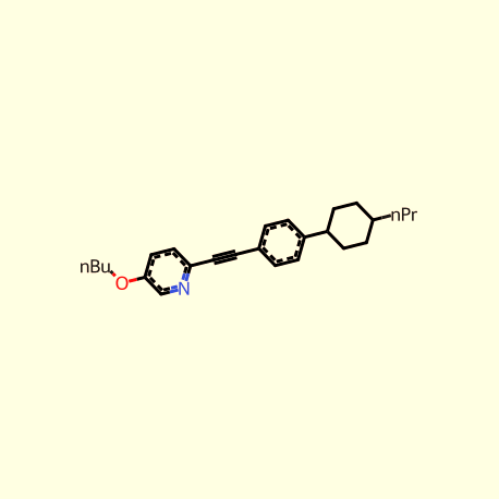 CCCCOc1ccc(C#Cc2ccc(C3CCC(CCC)CC3)cc2)nc1